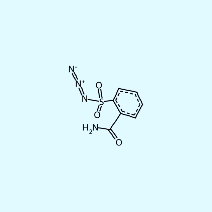 [N-]=[N+]=NS(=O)(=O)c1ccccc1C(N)=O